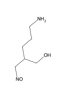 NCCCC(CO)CN=O